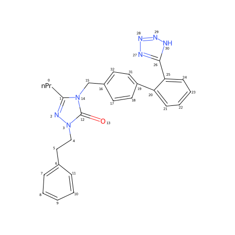 CCCc1nn(CCc2ccccc2)c(=O)n1Cc1ccc(-c2ccccc2-c2nnn[nH]2)cc1